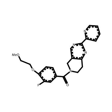 COCCOc1ccc(C(=O)N2CCc3nc(-c4ccccn4)ncc3C2)cc1F